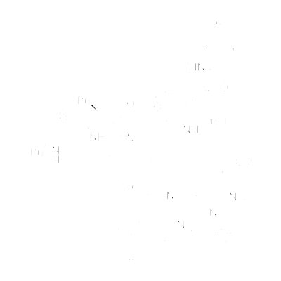 CCC[C@H](NC(=O)[C@@H]1CC(Oc2nc(-c3cc(C)nn3C)nc3ccsc23)CN1C(=O)[C@@H](NC(=O)NC(C)(C)C)C(C)(C)C)C(=O)C(=O)NC1CC1